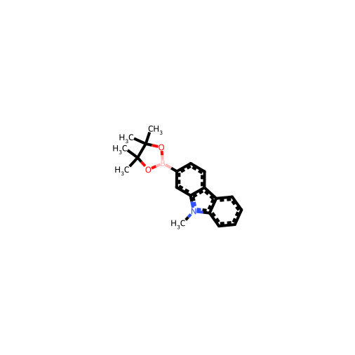 Cn1c2ccccc2c2ccc(B3OC(C)(C)C(C)(C)O3)cc21